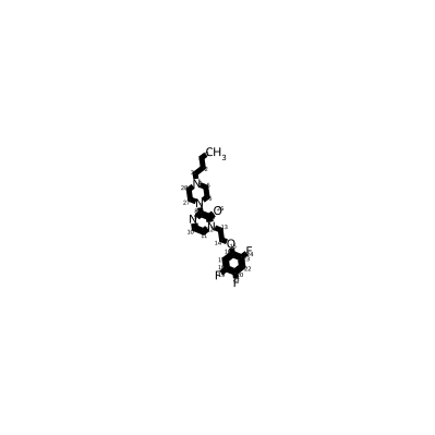 CCCCN1CCN(c2nccn(CCOc3cc(F)c(F)cc3F)c2=O)CC1